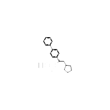 O=C(O)[C@H](CC1CCCC1)c1ccc(-c2ccccc2)cc1